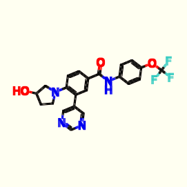 O=C(Nc1ccc(OC(F)(F)F)cc1)c1ccc(N2CCC(O)C2)c(-c2cncnc2)c1